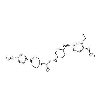 O=C(COC1CCC(Nc2ccc(OC(F)(F)F)c(CF)c2)CC1)N1CCN(c2ccc(C(F)(F)F)cc2)CC1